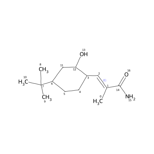 C/C(=C\C1CCC(C(C)(C)C)CC1O)C(N)=O